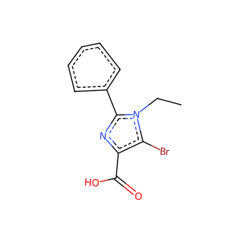 CCn1c(-c2ccccc2)nc(C(=O)O)c1Br